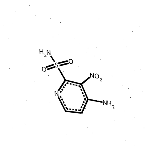 Nc1ccnc(S(N)(=O)=O)c1[N+](=O)[O-]